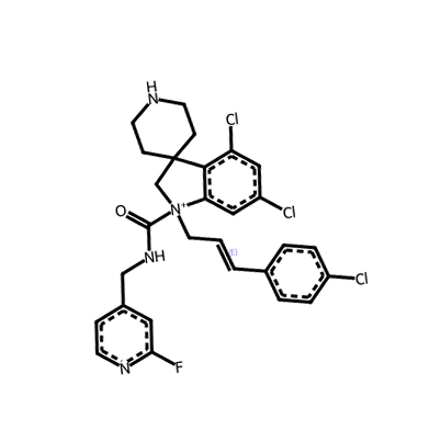 O=C(NCc1ccnc(F)c1)[N+]1(C/C=C/c2ccc(Cl)cc2)CC2(CCNCC2)c2c(Cl)cc(Cl)cc21